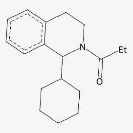 [CH2]CC(=O)N1CCc2ccccc2C1C1CCCCC1